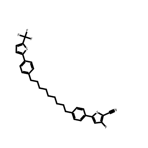 N#Cc1sc(-c2ccc(CCCCCCCCCc3ccc(-c4ccc(C(F)(F)F)s4)cc3)cc2)cc1F